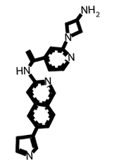 C=C(Nc1cc2cc(C3=CN=CC3)ccc2cn1)c1ccnc(N2CC(N)C2)c1